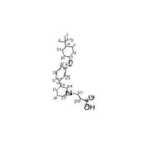 CC(C)(C)C1CCC(Oc2cccc(C3CCCN(CCC(=O)O)C3)c2)CC1